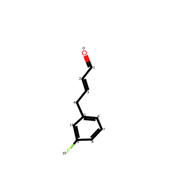 O=CC=CCc1cccc(F)c1